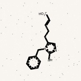 CCCc1ncc(CC/C=C/C(=O)O)n1Cc1ccccc1